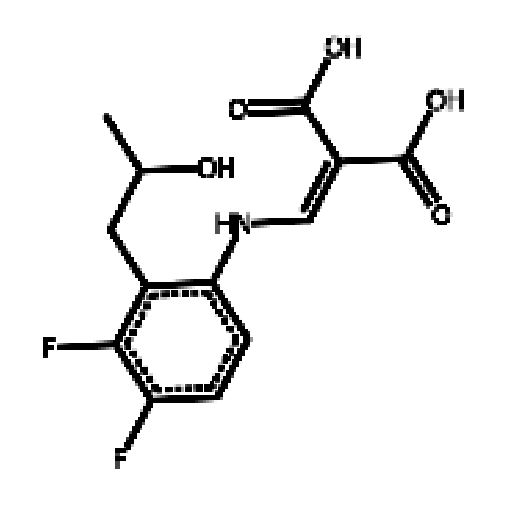 CC(O)Cc1c(NC=C(C(=O)O)C(=O)O)ccc(F)c1F